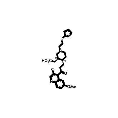 COc1ccc2ncc(Cl)c(C(=O)CC[C@@H]3CCN(CCSc4cccs4)C[C@@H]3CC(=O)O)c2c1